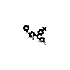 CC(C)(C)c1ccc(/C(=C\[C@H]2CCC(=O)N2)c2ccc(Oc3ccccc3)c(=O)[nH]2)cc1